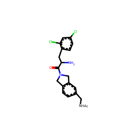 CC(=O)NCc1ccc2c(c1)CN(C(=O)C(N)Cc1ccc(Cl)cc1Cl)C2